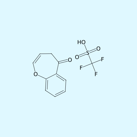 O=C1CC=COc2ccccc21.O=S(=O)(O)C(F)(F)F